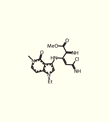 CCn1cc(N/C(=C/C(=N)Cl)C(=N)C(=O)OC)c2c(=O)n(C)ccc21